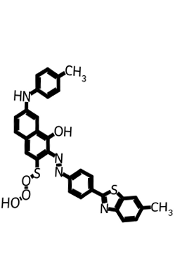 Cc1ccc(Nc2ccc3cc(SOOO)c(N=Nc4ccc(-c5nc6ccc(C)cc6s5)cc4)c(O)c3c2)cc1